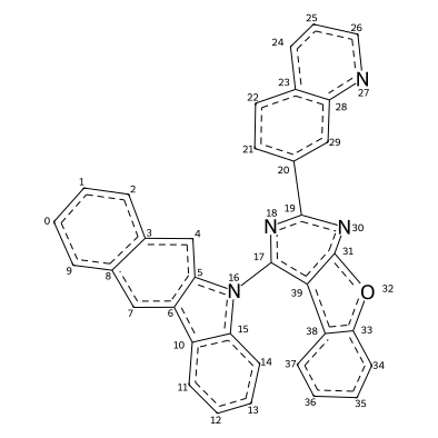 c1ccc2cc3c(cc2c1)c1ccccc1n3-c1nc(-c2ccc3cccnc3c2)nc2oc3ccccc3c12